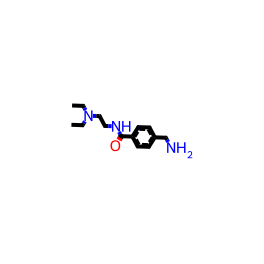 CCN(CC)CCNC(=O)c1ccc(CN)cc1